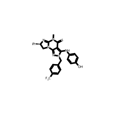 CC(C)[C@@H]1CN2C(=N1)N(C)C(=S)c1c2nn(Cc2ccc(C(F)(F)F)cc2)c1Nc1ccc(O)cc1